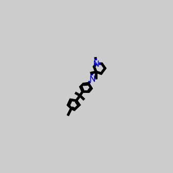 Cc1ccc(C(C)(C)c2ccc(N3CC4(CCCN(C)C4)C3)cc2)cc1